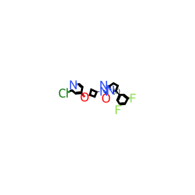 O=c1n2c(nn1[C@H]1C[C@H](Oc3ccnc(Cl)c3)C1)CC[C@H]2c1cc(F)cc(F)c1